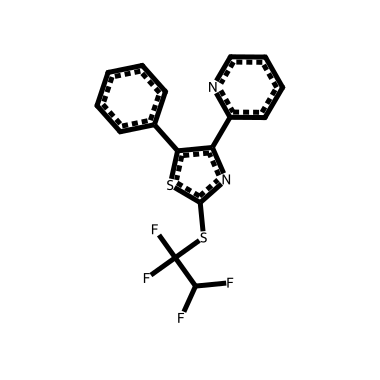 FC(F)C(F)(F)Sc1nc(-c2ccccn2)c(-c2ccccc2)s1